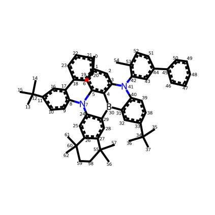 Cc1cc2c3c(c1)N(c1ccc(C(C)(C)C)cc1-c1ccccc1)c1cc4c(cc1B3c1cc(C(C)(C)C)ccc1N2c1cc(-c2ccccc2)ccc1C)C(C)(C)CCC4(C)C